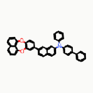 c1ccc(-c2ccc(N(c3ccccc3)c3ccc4ccc(-c5ccc6c(c5)Oc5cccc7cccc(c57)O6)cc4c3)cc2)cc1